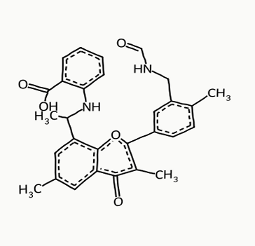 Cc1cc(C(C)Nc2ccccc2C(=O)O)c2oc(-c3ccc(C)c(CNC=O)c3)c(C)c(=O)c2c1